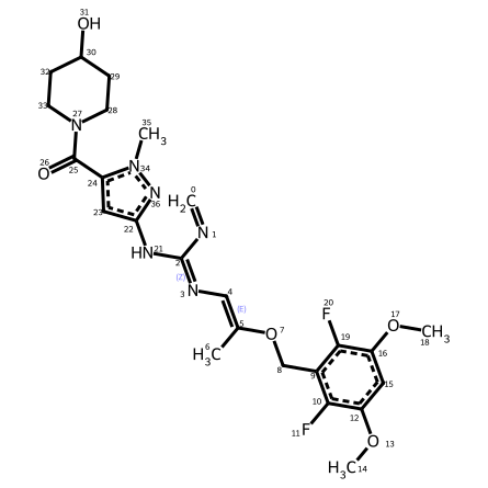 C=N/C(=N\C=C(/C)OCc1c(F)c(OC)cc(OC)c1F)Nc1cc(C(=O)N2CCC(O)CC2)n(C)n1